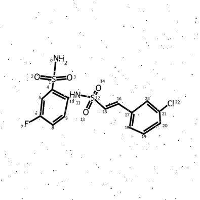 NS(=O)(=O)c1cc(F)ccc1NS(=O)(=O)C=Cc1cccc(Cl)c1